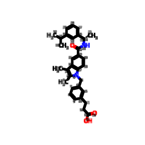 Cc1c(C)n(Cc2cccc(CCC(=O)O)c2)c2ccc(C(=O)N[C@@H](C)c3cccc(C(C)C)c3)cc12